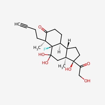 C#CCC[C@@]1(C)C(=O)CC[C@H]2[C@@H]3CC[C@](O)(C(=O)CO)[C@@]3(C)CC(O)(O)[C@@]21F